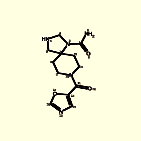 NC(=O)N1CNCC12CCN(C(=O)c1cnco1)CC2